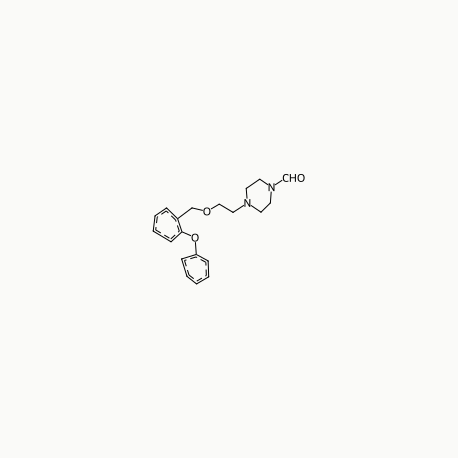 O=CN1CCN(CCOCc2ccccc2Oc2ccccc2)CC1